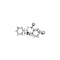 O=C1CC(c2ccccc2)Nc2ccc(Cl)cc21